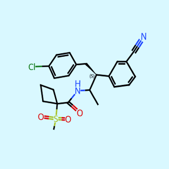 CC(NC(=O)C1(S(C)(=O)=O)CCC1)[C@@H](Cc1ccc(Cl)cc1)c1cccc(C#N)c1